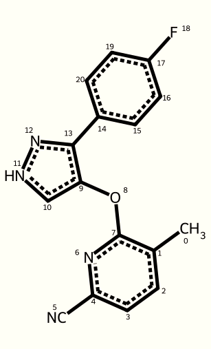 Cc1ccc(C#N)nc1Oc1c[nH]nc1-c1ccc(F)cc1